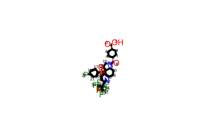 O=C(O)[C@H]1CC[C@H](C(=O)N2CCC3(S(=O)(=O)c4ccc(F)cc4)c4ccc(C(F)(C(F)(F)F)C(F)(F)F)nc4CCC23)CC1